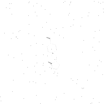 O=C(O)N1CCC(O)(CN2CCNC2=O)CC1